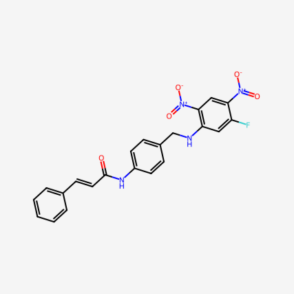 O=C(C=Cc1ccccc1)Nc1ccc(CNc2cc(F)c([N+](=O)[O-])cc2[N+](=O)[O-])cc1